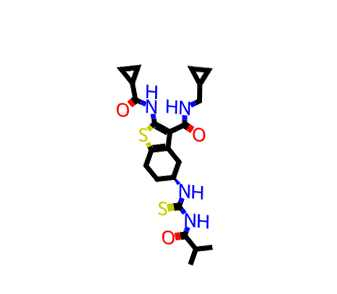 CC(C)C(=O)NC(=S)N[C@H]1CCc2sc(NC(=O)C3CC3)c(C(=O)NCC3CC3)c2C1